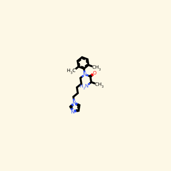 Cc1cccc(C)c1N(CCCCCn1ccnc1)C(=O)C(C)N